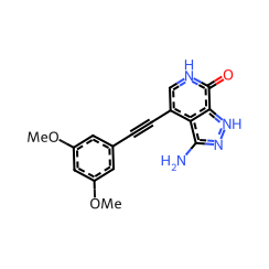 COc1cc(C#Cc2c[nH]c(=O)c3[nH]nc(N)c23)cc(OC)c1